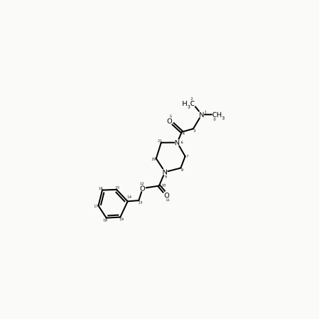 CN(C)CC(=O)N1CCN(C(=O)OCc2ccccc2)CC1